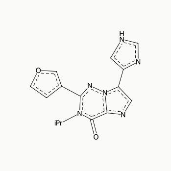 CC(C)n1c(-c2ccoc2)nn2c(-c3c[nH]cn3)cnc2c1=O